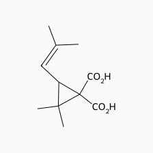 CC(C)=CC1C(C)(C)C1(C(=O)O)C(=O)O